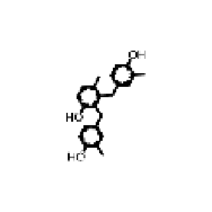 Cc1cc(Cc2c(C)ccc(O)c2Cc2ccc(O)c(C)c2)ccc1O